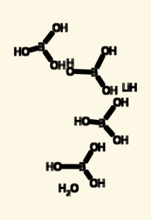 O.OB(O)O.OB(O)O.OB(O)O.OB(O)O.[LiH]